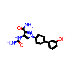 NC(=O)Nc1cn(-c2ccc(-c3cccc(O)c3)cc2)nc1C(N)=O